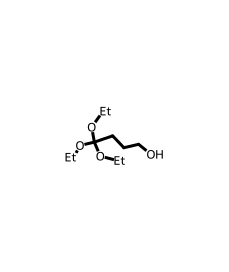 CCOC(CCCO)(OCC)OCC